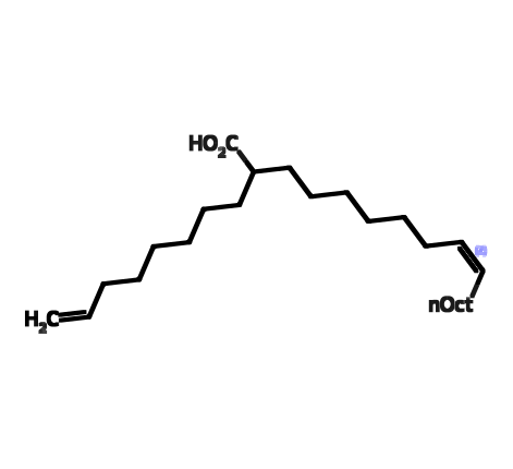 C=CCCCCCCC(CCCCCC/C=C\CCCCCCCC)C(=O)O